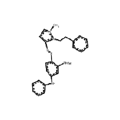 CC(=O)Nc1cc(Nc2ccccc2)ccc1N=Nc1ccn(C)[n+]1CCc1ccccc1